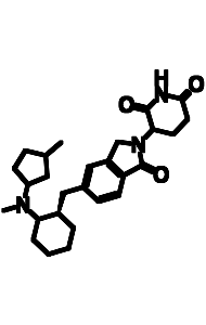 CC1CCC(N(C)C2CCCC[C@@H]2Cc2ccc3c(c2)CN(C2CCC(=O)NC2=O)C3=O)C1